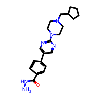 NNC(=O)c1ccc(-c2cnc(N3CCN(CC4CCCC4)CC3)nc2)cc1